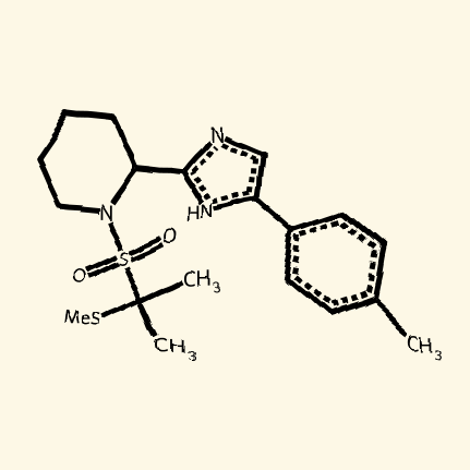 CSC(C)(C)S(=O)(=O)N1CCCCC1c1ncc(-c2ccc(C)cc2)[nH]1